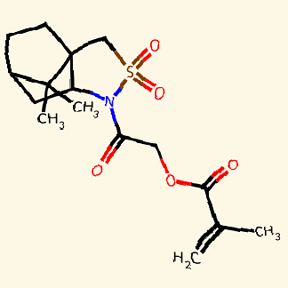 C=C(C)C(=O)OCC(=O)N1C2CC3CCC2(CS1(=O)=O)C3(C)C